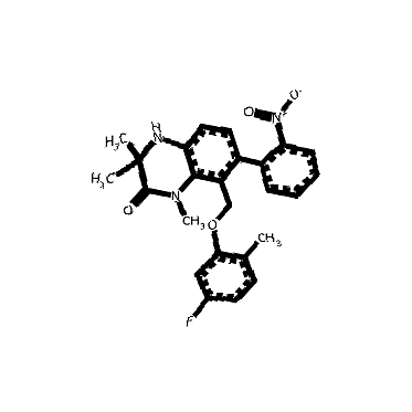 Cc1ccc(F)cc1OCc1c(-c2ccccc2[N+](=O)[O-])ccc2c1N(C)C(=O)C(C)(C)N2